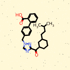 CC(C)CCC1CCCC(C(=O)c2ncn(Cc3ccc(-c4ccccc4C(=O)O)cc3)n2)C1